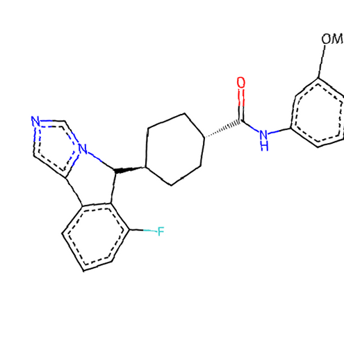 COc1cccc(NC(=O)[C@H]2CC[C@H](C3c4c(F)cccc4-c4cncn43)CC2)c1